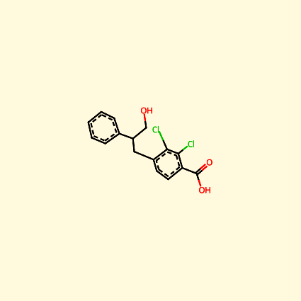 O=C(O)c1ccc(CC(CO)c2ccccc2)c(Cl)c1Cl